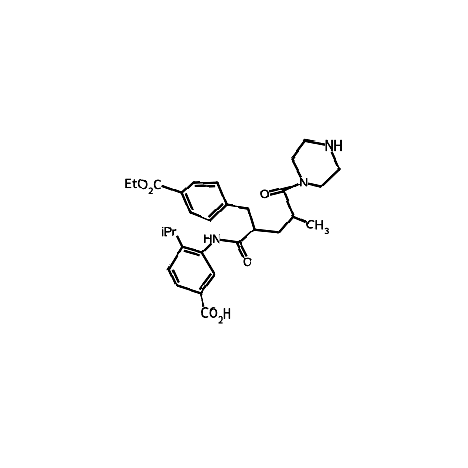 CCOC(=O)c1ccc(CC(CC(C)C(=O)N2CCNCC2)C(=O)Nc2cc(C(=O)O)ccc2C(C)C)cc1